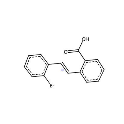 O=C(O)c1ccccc1/C=C/c1ccccc1Br